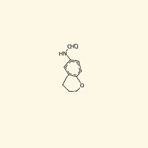 O=CNc1ccc2c(c1)CCCO2